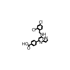 O=C(O)c1ccc(-c2cc(NCc3ccc(Cl)cc3Cl)n3nccc3n2)cc1